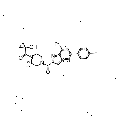 CC(C)c1cc(-c2ccc(F)cc2)nn2cc(C(=O)N3CCN(C(=O)C4(O)CC4)[C@@H](C)C3)nc12